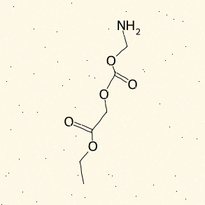 CCOC(=O)COC(=O)OCN